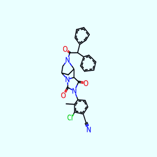 Cc1c(N2C(=O)C3C4CC(CN4C(=O)C(c4ccccc4)c4ccccc4)N3C2=O)ccc(C#N)c1Cl